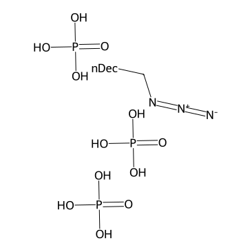 CCCCCCCCCCCN=[N+]=[N-].O=P(O)(O)O.O=P(O)(O)O.O=P(O)(O)O